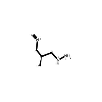 C=NC[C@H](C)CNN